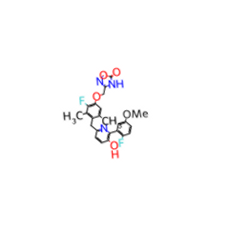 COc1ccc(F)c(-c2nc(Cc3c(C)cc(OCc4noc(=O)[nH]4)c(F)c3C)ccc2O)c1